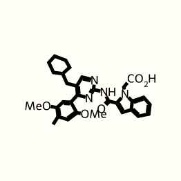 COc1cc(-c2nc(NC(=O)c3cc4ccccc4n3CC(=O)O)ncc2CC2CCCCC2)c(OC)cc1C